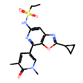 CCS(=O)(=O)Nc1cc2nc(C3CC3)oc2c(-c2cc(C)c(=O)n(C)c2)n1